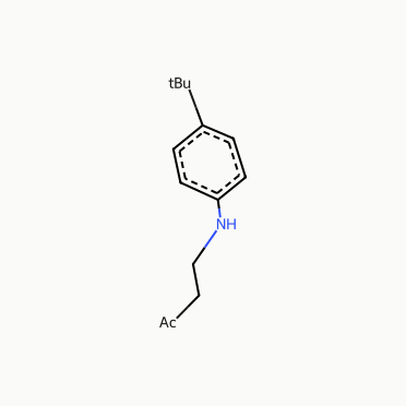 CC(=O)CCNc1ccc(C(C)(C)C)cc1